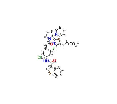 O=C(O)CCc1cnc([C@]2(N3CCCCC3)CCCN2C(=O)Cc2cc(Cl)c(NC(=O)c3csc4ccccc34)cc2F)s1